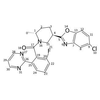 C[C@@H]1CC[C@@H](c2nc3cc(Cl)ccc3o2)CN1C(=O)c1c(F)cccc1-c1ncccn1